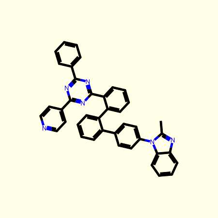 Cc1nc2ccccc2n1-c1ccc(-c2ccccc2-c2ccccc2-c2nc(-c3ccccc3)nc(-c3ccncc3)n2)cc1